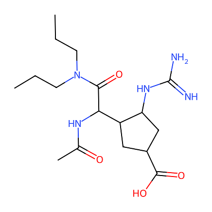 CCCN(CCC)C(=O)C(NC(C)=O)C1CC(C(=O)O)CC1NC(=N)N